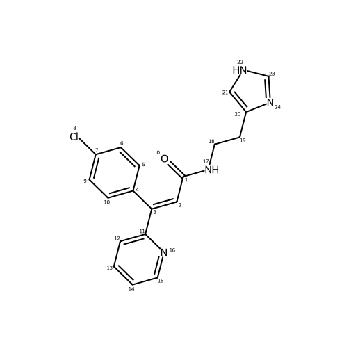 O=C(/C=C(\c1ccc(Cl)cc1)c1ccccn1)NCCc1c[nH]cn1